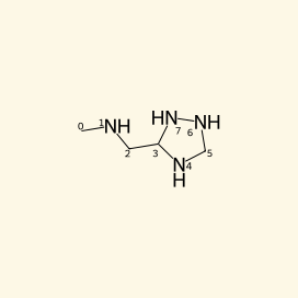 CNCC1NCNN1